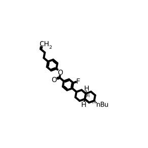 C=CCCc1ccc(OC(=O)c2ccc(C3CC[C@H]4C[C@@H](CCCC)CC[C@@H]4C3)c(F)c2)cc1